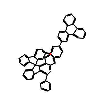 c1ccc(-c2nc3ccccc3c3c2-c2ccccc2C32c3ccccc3-c3ccc(-c4cccc(-c5ccc6c7ccccc7c7ccccc7c6c5)c4)cc32)cc1